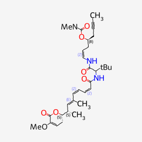 CC#CC[C@@H](C/C=C\NC(=O)C(NC(=O)\C=C/C=C\C(C)=C\[C@H](C)[C@@H]1CC=C(OC)C(=O)O1)C(C)(C)C)OC(=O)NC